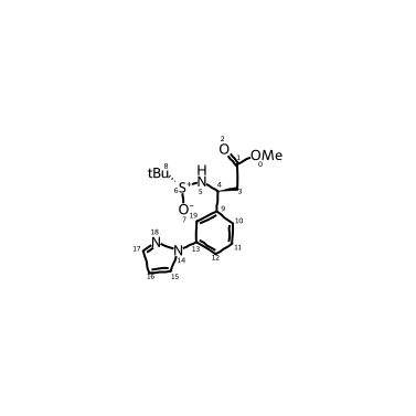 COC(=O)C[C@H](N[S@+]([O-])C(C)(C)C)c1cccc(-n2cccn2)c1